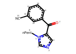 CCCCCn1cncc1C(=O)c1cccc(C#N)c1